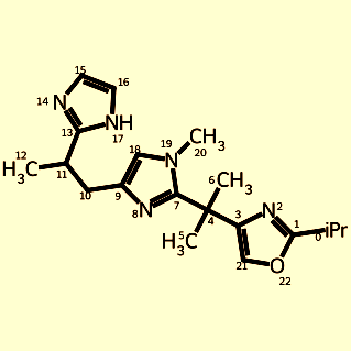 CC(C)c1nc(C(C)(C)c2nc(CC(C)c3ncc[nH]3)cn2C)co1